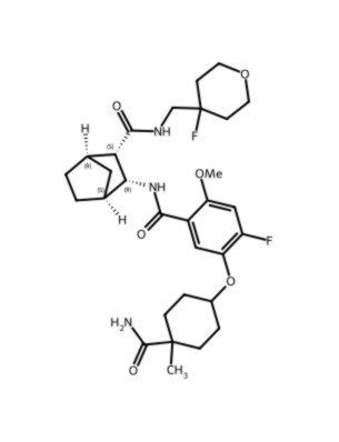 COc1cc(F)c(OC2CCC(C)(C(N)=O)CC2)cc1C(=O)N[C@@H]1[C@H]2CC[C@H](C2)[C@@H]1C(=O)NCC1(F)CCOCC1